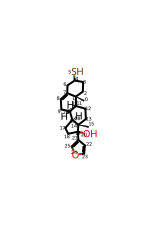 C[C@]12CCC(S)CC1=CC[C@@H]1[C@H]2CC[C@@]2(C)[C@H]1CCC2(O)c1ccoc1